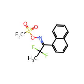 CC(F)(F)C(=NOS(=O)(=O)C(F)(F)F)c1cccc2ccccc12